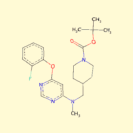 CN(CC1CCN(C(=O)OC(C)(C)C)CC1)c1cc(Oc2ccccc2F)ncn1